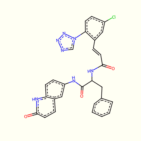 O=C(/C=C/c1cc(Cl)ccc1-n1cnnn1)NC(Cc1ccccc1)C(=O)Nc1ccc2[nH]c(=O)ccc2c1